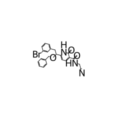 N#CCNC(=O)c1ccc(C(Cc2cccc(Br)c2)OCc2ccccc2)[nH]c1=O